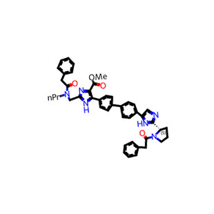 CCCN(Cc1nc(C(=O)OC)c(-c2ccc(-c3ccc(-c4cnc([C@@H]5CCCN5C(=O)Cc5ccccc5)[nH]4)cc3)cc2)[nH]1)C(=O)Cc1ccccc1